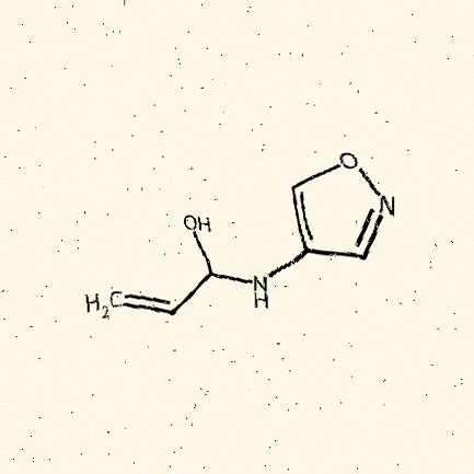 C=CC(O)Nc1cnoc1